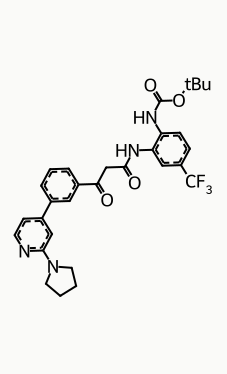 CC(C)(C)OC(=O)Nc1ccc(C(F)(F)F)cc1NC(=O)CC(=O)c1cccc(-c2ccnc(N3CCCC3)c2)c1